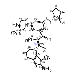 CCC/C(C(=N)c1nc(CC[C@@H]2CCCN2C)cc(N2CCNC(C(C)C)C2)n1)=C(/C)[C@H]1CCCc2sc(N)c(C#N)c21